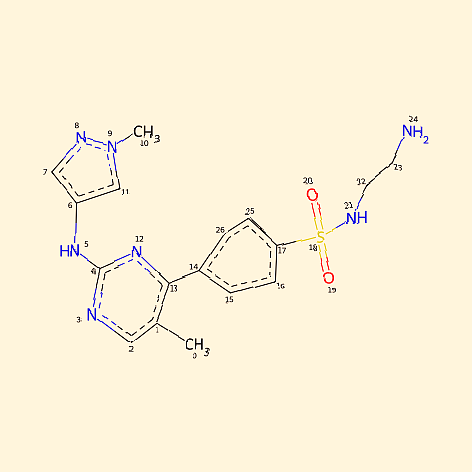 Cc1cnc(Nc2cnn(C)c2)nc1-c1ccc(S(=O)(=O)NCCN)cc1